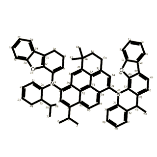 CC(C)c1cc(N(C2=CCCc3c2oc2ccccc32)C2=CC=CCC2C(C)C)c2cc3c4c(cc(N5c6ccccc6C(C)c6ccc7c(oc8ccccc87)c65)c5ccc1c2c54)CCC3(C)C